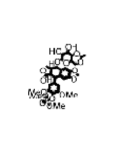 COc1cc(C2c3cc4c(cc3[C@@H](OC3OC5COC(C)OC5C(O)C3O)[C@H]3COC(=O)[C@H]23)OCO4)cc(OC)c1OP(=O)(OC)OC